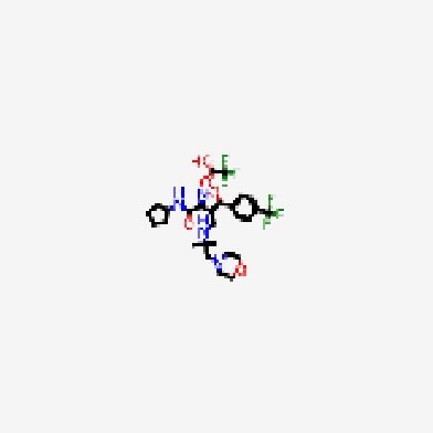 CC(C)(CN1CCOCC1)NCc1c(C(=O)NC2CCCC2)noc1-c1ccc(C(F)(F)F)cc1.O=C(O)C(F)(F)F